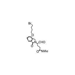 CNC(=O)CCC(C=O)N1Cc2c(OCCCCBr)cccc2C1=O